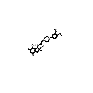 COc1ccc(N2CCN(CC(=O)NC3c4c(O)c(C)cc(C)c4CC3(C)C)CC2)cc1OC